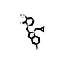 Nc1cccn(Cc2cc3cc(F)ccc3n2CC2CC2)c1=O